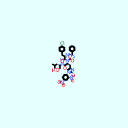 CC(C)C[C@@H](CO)NC(=O)[C@H](Cc1cn(-c2ccc([N+](=O)[O-])cc2[N+](=O)[O-])cn1)N(C(=O)OCc1ccccc1)C(=O)[C@@H](N)Cc1ccc(Cl)cc1